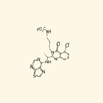 CC(Nc1ncnc2scnc12)c1nc2cccc(Cl)c2c(=O)n1CCCNC(=O)O